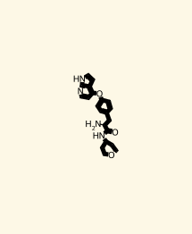 N[C@H](Cc1ccc(Oc2ccnc3[nH]ccc23)cc1)C(=O)NC1CCOCC1